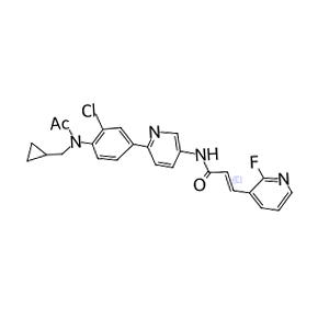 CC(=O)N(CC1CC1)c1ccc(-c2ccc(NC(=O)/C=C/c3cccnc3F)cn2)cc1Cl